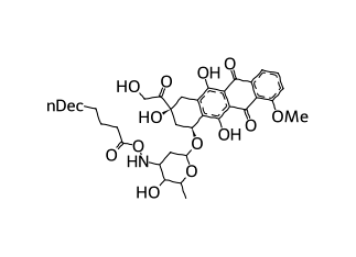 CCCCCCCCCCCCCC(=O)ONC1CC(O[C@H]2C[C@](O)(C(=O)CO)Cc3c(O)c4c(c(O)c32)C(=O)c2c(OC)cccc2C4=O)OC(C)C1O